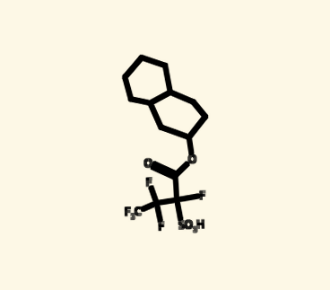 O=C(OC1CCC2CCCCC2C1)C(F)(C(F)(F)C(F)(F)F)S(=O)(=O)O